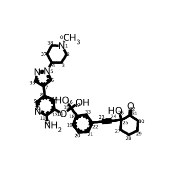 CN1CCC(n2cc(-c3cnc(N)c(OC(O)(O)c4cccc(C#CC5(O)CCCCC5=O)c4)c3)cn2)CC1